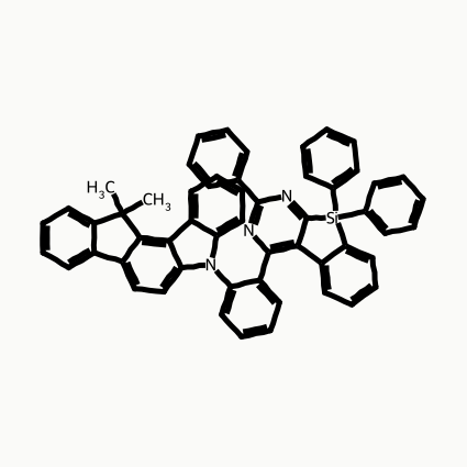 CC1(C)c2ccccc2-c2ccc3c(c21)c1ccccc1n3-c1ccccc1-c1nc(-c2ccccc2)nc2c1-c1ccccc1[Si]2(c1ccccc1)c1ccccc1